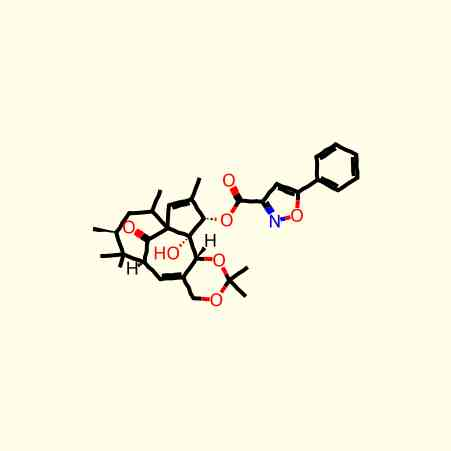 CC1=CC23C(=O)[C@@H](C=C4COC(C)(C)O[C@H]4[C@]2(O)[C@H]1OC(=O)c1cc(-c2ccccc2)on1)C(C)(C)[C@@H](C)CC3C